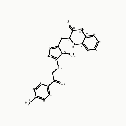 Cc1ccc(C(=O)CSc2nnc(CC3Sc4ccccc4NC3=O)n2C)cc1